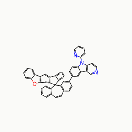 C1=Cc2ccc(-c3ccc4c(c3)c3cnccc3n4-c3ccccn3)cc2C2(c3ccccc31)c1ccccc1-c1cc3c(cc12)oc1ccccc13